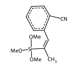 CO[Si](OC)(OC)C(C)=Cc1ccccc1C#N